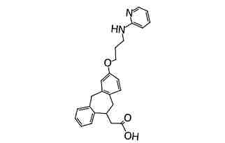 O=C(O)CC1Cc2ccc(OCCCNc3ccccn3)cc2Cc2ccccc21